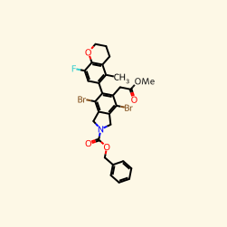 COC(=O)Cc1c(Br)c2c(c(Br)c1-c1cc(F)c3c(c1C)CCCO3)CN(C(=O)OCc1ccccc1)C2